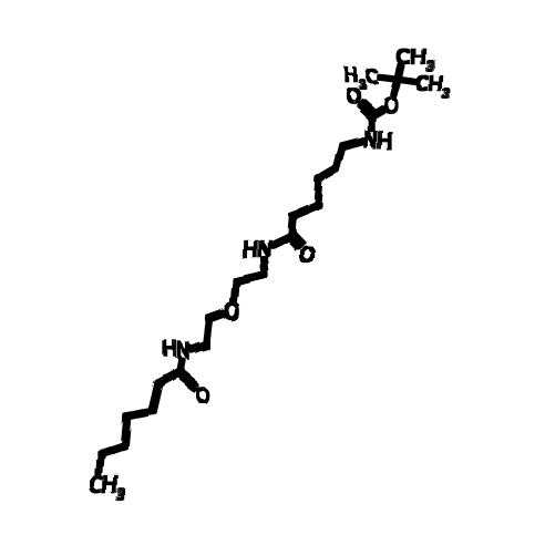 CCCCCCC(=O)NCCOCCNC(=O)CCCCCNC(=O)OC(C)(C)C